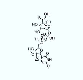 CO[C@]1(C2CC2)[C@H](O)[C@@H](COP(=O)(S)OP(=O)(O)OC2OC3(O)C2C(O)C(O)C3[C@@H](F)CO)O[C@H]1n1ccc(=O)[nH]c1=O